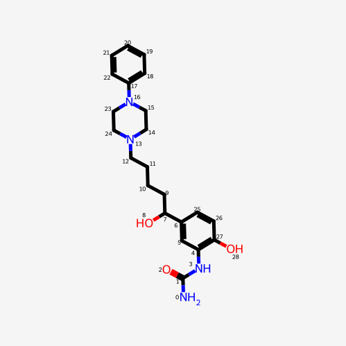 NC(=O)Nc1cc(C(O)CCCCN2CCN(c3ccccc3)CC2)ccc1O